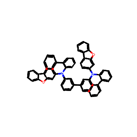 c1ccc(-c2ccccc2N(c2cccc(-c3cccc(N(c4ccc5c(c4)oc4ccccc45)c4ccccc4-c4ccccc4)c3)c2)c2ccc3c(c2)oc2ccccc23)cc1